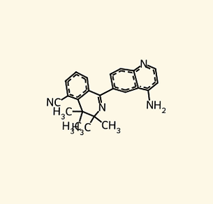 CC1(C)N=C(c2ccc3nccc(N)c3c2)c2cccc(C#N)c2C1(C)C